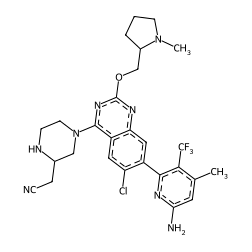 Cc1cc(N)nc(-c2cc3nc(OCC4CCCN4C)nc(N4CCNC(CC#N)C4)c3cc2Cl)c1C(F)(F)F